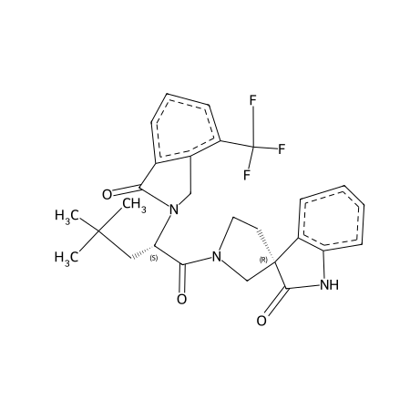 CC(C)(C)C[C@@H](C(=O)N1CC[C@@]2(C1)C(=O)Nc1ccccc12)N1Cc2c(cccc2C(F)(F)F)C1=O